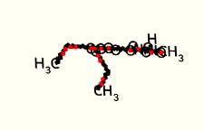 CCCCCCCC/C=C\CCCCCCCCOCC(COCCOCCOCCCCCOC(=O)CNCCOC(=O)CNCCOC)OCCCCCCCC/C=C\CCCCCCCC